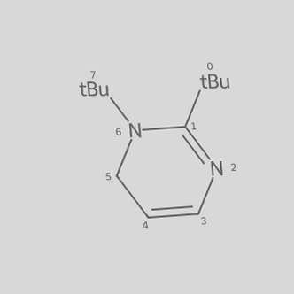 CC(C)(C)C1=NC=CCN1C(C)(C)C